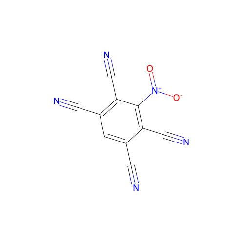 N#Cc1cc(C#N)c(C#N)c([N+](=O)[O-])c1C#N